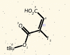 CC(C)(C)OC(=O)/C(I)=C\C(=O)O